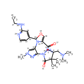 CN(C)CC1CN(c2nn(C)cc2N2C(C(N)=O)=COC2c2ccnc(NCC(F)(F)F)c2)C(=O)C1(C)C